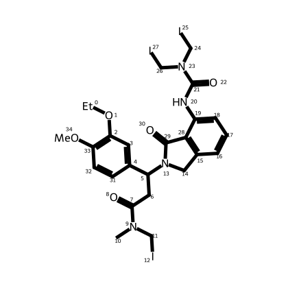 CCOc1cc(C(CC(=O)N(C)CI)N2Cc3cccc(NC(=O)N(CI)CI)c3C2=O)ccc1OC